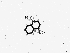 CCC1CCN(C)C2CCCCC12